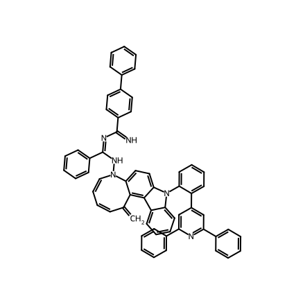 C=C1/C=C\C=C/N(N/C(=N\C(=N)c2ccc(-c3ccccc3)cc2)c2ccccc2)c2ccc3c(c21)c1ccccc1n3-c1ccccc1-c1cc(-c2ccccc2)nc(-c2ccccc2)c1